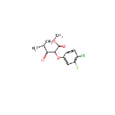 COC(=O)C(Oc1ccc(Cl)c(F)c1)C(=O)C(C)C